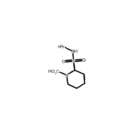 CCCNS(=O)(=O)C1CCCCN1C(=O)O